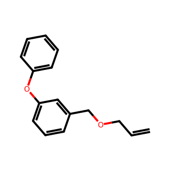 C=CCOCc1cccc(Oc2ccccc2)c1